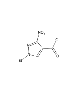 CCn1cc(C(=O)Cl)c([N+](=O)[O-])n1